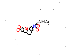 CC(=O)NC[C@H]1CN(c2ccc3c(c2)CCCC(=Cc2ccc4c(c2)OCO4)C3=O)C(=O)O1